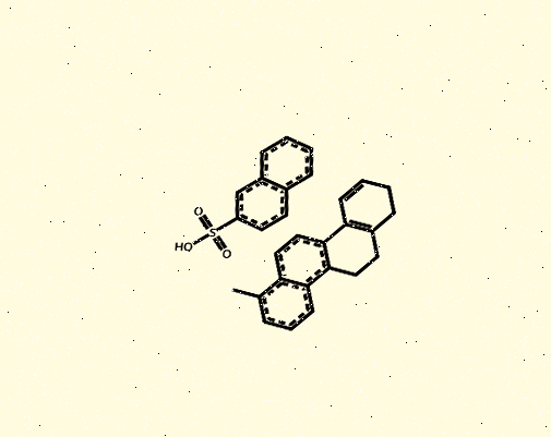 Cc1cccc2c3c(ccc12)C1=C(CCC=C1)CC3.O=S(=O)(O)c1ccc2ccccc2c1